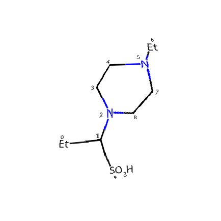 CCC(N1CCN(CC)CC1)S(=O)(=O)O